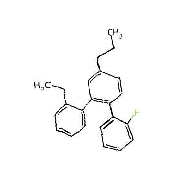 CCCc1ccc(-c2ccccc2F)c(-c2ccccc2CC)c1